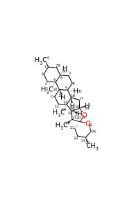 CC1CC[C@@]2(C)[C@H](CC[C@@H]3[C@@H]2CC[C@]2(C)[C@@H]4[C@H](C[C@@H]32)O[C@]2(CC[C@H](C)CO2)[C@H]4C)C1